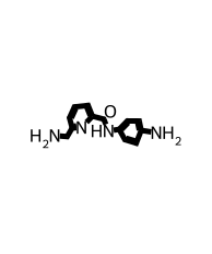 NCc1cccc(C(=O)Nc2ccc(N)cc2)n1